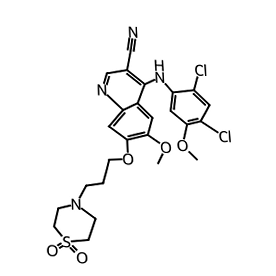 COc1cc(Nc2c(C#N)cnc3cc(OCCCN4CCS(=O)(=O)CC4)c(OC)cc23)c(Cl)cc1Cl